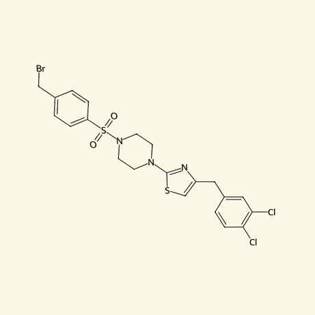 O=S(=O)(c1ccc(CBr)cc1)N1CCN(c2nc(Cc3ccc(Cl)c(Cl)c3)cs2)CC1